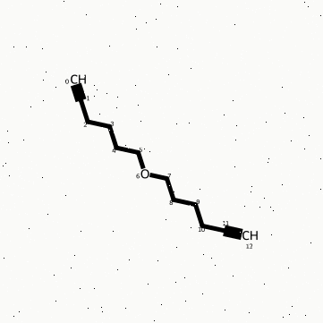 C#CCCCCOCCCCC#C